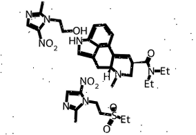 CCN(CC)C(=O)[C@@H]1C=C2c3cccc4[nH]cc(c34)C[C@H]2N(C)C1.CCS(=O)(=O)CCn1c([N+](=O)[O-])cnc1C.Cc1ncc([N+](=O)[O-])n1CCO